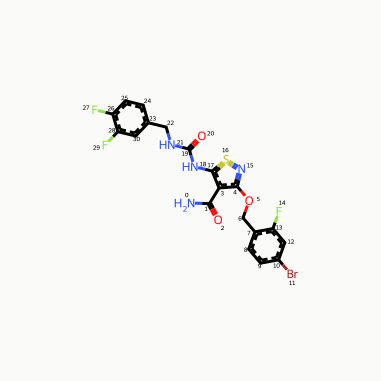 NC(=O)c1c(OCc2ccc(Br)cc2F)nsc1NC(=O)NCc1ccc(F)c(F)c1